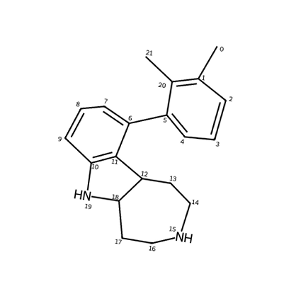 Cc1cccc(-c2cccc3c2C2CCNCCC2N3)c1C